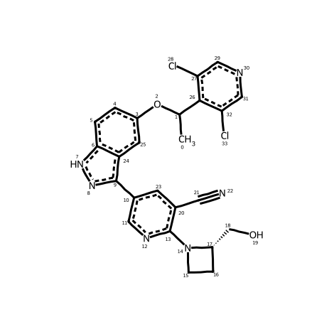 CC(Oc1ccc2[nH]nc(-c3cnc(N4CC[C@H]4CO)c(C#N)c3)c2c1)c1c(Cl)cncc1Cl